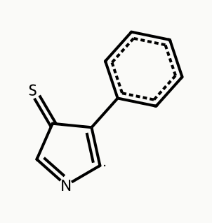 S=C1C=N[C]=C1c1ccccc1